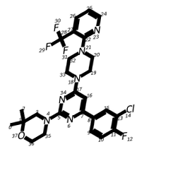 CC1(C)CN(c2nc(-c3ccc(F)c(Cl)c3)cc(N3CCN(c4ncccc4C(F)(F)F)CC3)n2)CCO1